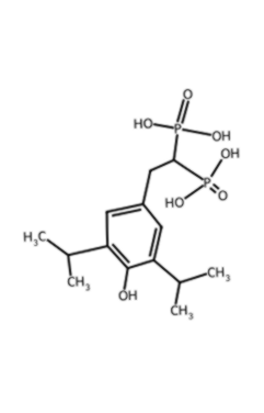 CC(C)c1cc(CC(P(=O)(O)O)P(=O)(O)O)cc(C(C)C)c1O